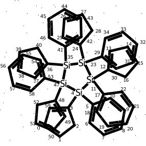 C1=CCC([Si]2(c3ccccc3)[Si](C3=CC=CC3)(c3ccccc3)[Si](C3=CC=CC3)(c3ccccc3)[Si](C3=CC=CC3)(c3ccccc3)[Si]2(C2=CC=CC2)c2ccccc2)=C1